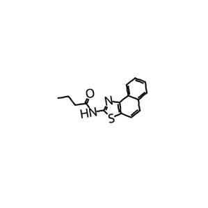 CCCC(=O)Nc1nc2c(ccc3ccccc32)s1